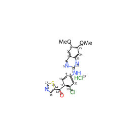 COc1cc2cnc(Nc3ccc(C(=O)c4cncs4)c(Cl)c3)nc2cc1OC.Cl